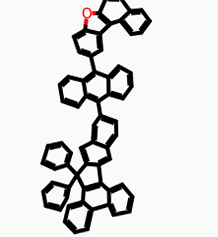 c1ccc(C2(c3ccccc3)c3cc4cc(-c5c6ccccc6c(-c6ccc7oc8ccc9ccccc9c8c7c6)c6ccccc56)ccc4cc3-c3c2c2ccccc2c2ccccc32)cc1